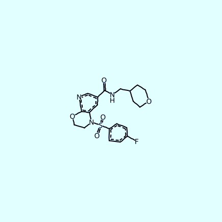 O=C(NCC1CCOCC1)c1cnc2c(c1)N(S(=O)(=O)c1ccc(F)cc1)CCO2